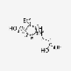 CCc1cc(NCCC(O)O)ccc1C(=O)O